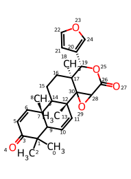 CC1(C)C(=O)C=C[C@@]2(C)C1C=C[C@]1(C)C2CC[C@@]2(C)[C@H](c3ccoc3)OC(=O)C3OC321